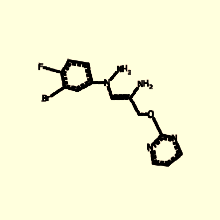 N/C(=C\N(N)c1ccc(F)c(Br)c1)COc1ncccn1